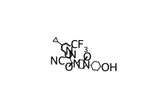 N#Cc1c(C(=O)N2CCN([C@H]3CC[C@H](O)CC3)C(=O)C2)nn2c(C(F)(F)F)cc(C3CC3)cc12